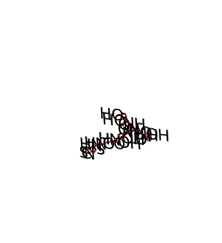 O=C(NCCN(CCNC(=O)c1cccc(O)c1O)CCNC(=O)c1ccc(C(=O)NCCOCCNC(=S)Nc2ccc(N=C=S)cc2)c(O)c1O)c1cccc(O)c1O